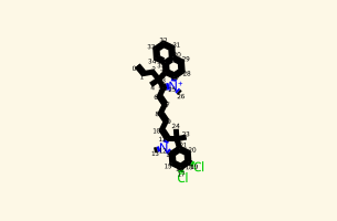 C=CCC1(C)C(/C=C/C=C/C=C2/N(C)c3cc(Cl)c(Cl)cc3C2(C)C)=[N+](C)c2ccc3ccccc3c21